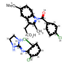 COc1ccc2c(c1)c(CC(=O)O)c(C)n2C(=O)c1ccc(Cl)cc1.Clc1cccc(Cl)c1N=C1NCCN1